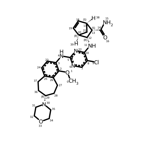 COc1c(Nc2ncc(Cl)c(N[C@H]3[C@@H](C(N)=O)[C@@H]4C=C[C@H]3C4)n2)ccc2c1CC[C@H](N1CCOCC1)CC2